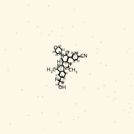 Cc1nc(N[C@H](C)c2cccc(C(F)(F)CO)c2)c2cn(N3CCOCC3)c(=O)c(-c3ccc(C#N)nc3)c2n1